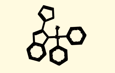 [Zr][Sn]([c]1ccccc1)([c]1ccccc1)[CH]1C(C2=CC=CC2)=Cc2ccccc21